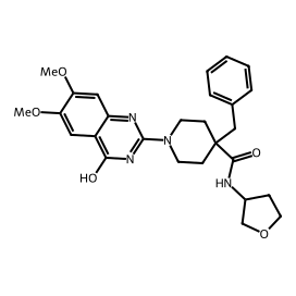 COc1cc2nc(N3CCC(Cc4ccccc4)(C(=O)NC4CCOC4)CC3)nc(O)c2cc1OC